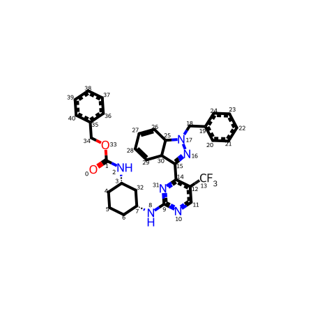 O=C(N[C@H]1CCC[C@@H](Nc2ncc(C(F)(F)F)c(C3=NN(Cc4ccccc4)C4C=CC=CC34)n2)C1)OCc1ccccc1